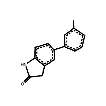 Cc1cccc(-c2ccc3c(c2)CC(=O)N3)c1